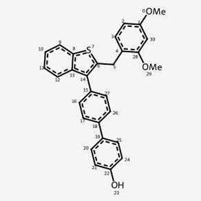 COc1ccc(Cc2sc3ccccc3c2-c2ccc(-c3ccc(O)cc3)cc2)c(OC)c1